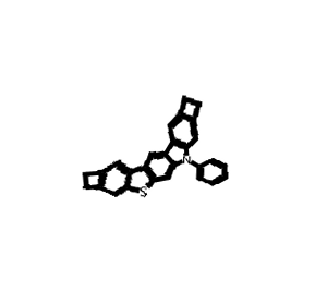 C1=C2c3cc4c5cc6c(cc5n(-c5ccccc5)c4cc3SC2CC2=C1CC2)CC6